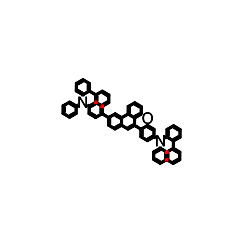 c1ccc(-c2ccccc2N(c2ccccc2)c2ccc(-c3ccc4cc5c6c(cccc6c4c3)Oc3cc(N(c4ccccc4)c4ccccc4-c4ccccc4)ccc3-5)cc2)cc1